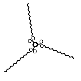 CCCCCCCCCCCCCCCCOC(=O)c1cc(C(=O)OCCCCCCCCCCCCCCCC)cc(C(=O)OCCCCCCCCCCCCCCCC)c1